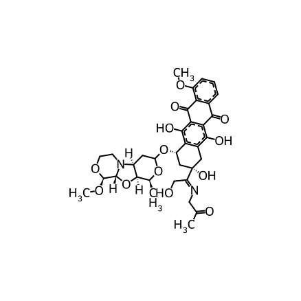 COc1cccc2c1C(=O)c1c(O)c3c(c(O)c1C2=O)C[C@@](O)(/C(CO)=N/CC(C)=O)C[C@@H]3OC1C[C@H]2[C@H](O[C@@H]3[C@@H](OC)OCCN32)[C@H](C)O1